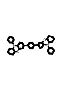 c1ccc(N2c3ccccc3Oc3cc(-c4ccc(-c5ccc6c(c5)Oc5ccccc5N6c5ccccc5)cc4)ccc32)cc1